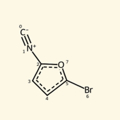 [C-]#[N+]c1ccc(Br)o1